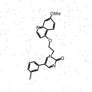 COc1ccc2c(OCCn3cc(-c4cccc(F)c4)cnc3=O)ccnc2c1